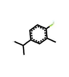 [CH2]C(C)c1ccc(F)c(C)c1